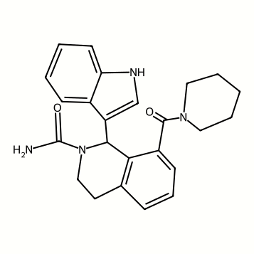 NC(=O)N1CCc2cccc(C(=O)N3CCCCC3)c2C1c1c[nH]c2ccccc12